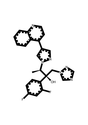 C[C@@H](n1cc(-c2ccnc3ccccc23)cn1)[C@](O)(Cn1cncn1)c1ccc(F)cc1F